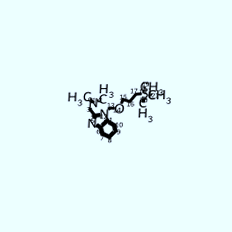 CN(C)Cc1nc2ccccc2n1COCCC[Si](C)(C)C